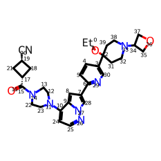 CCOC1(c2ccc(-c3cc4c(N5CCN(C(=O)[C@H]6C[C@H](C#N)C6)CC5)ccnn4c3)nc2)CCN(C2COC2)CC1